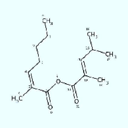 CCCCC=C(C)C(=O)OC(=O)C(C)=CC(C)C